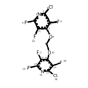 Fc1nc(Cl)c(F)c(OCOc2c(F)c(F)nc(Cl)c2F)c1F